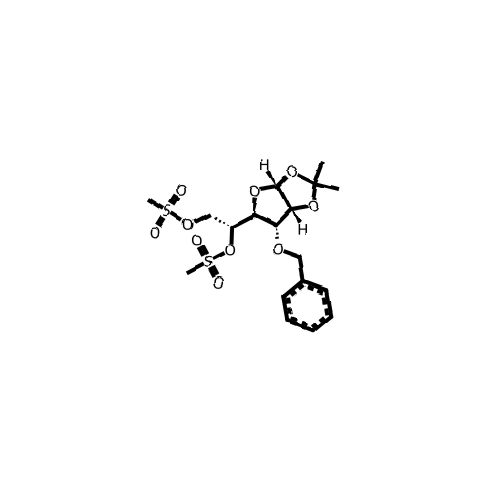 CC1(C)O[C@H]2O[C@H]([C@@H](COS(C)(=O)=O)OS(C)(=O)=O)[C@@H](OCc3ccccc3)[C@H]2O1